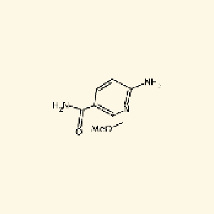 COC.NC(=O)c1ccc(N)nc1